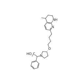 CC1CCNc2nc(CCCCO[C@@H]3CCN(C(C(=O)O)c4ccccc4)C3)ccc21